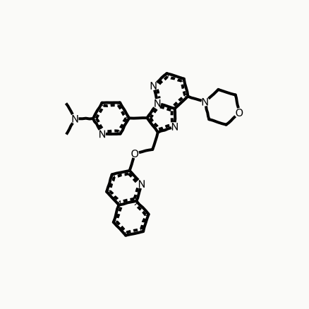 CN(C)c1ccc(-c2c(COc3ccc4ccccc4n3)nc3c(N4CCOCC4)ccnn23)cn1